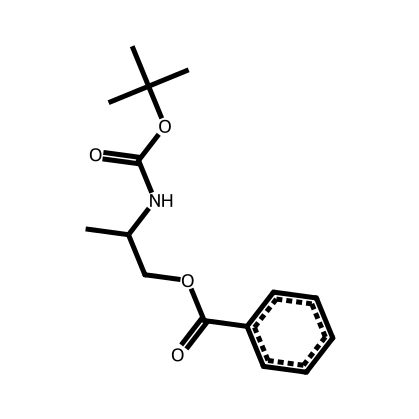 CC(COC(=O)c1ccccc1)NC(=O)OC(C)(C)C